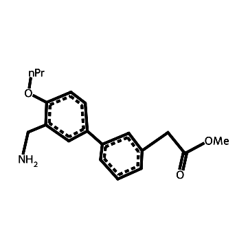 CCCOc1ccc(-c2cccc(CC(=O)OC)c2)cc1CN